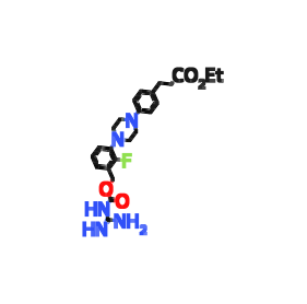 CCOC(=O)CCc1ccc(N2CCN(c3cccc(COC(=O)NC(=N)N)c3F)CC2)cc1